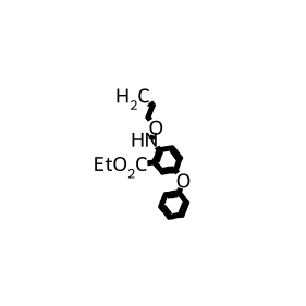 C=CCONc1ccc(Oc2ccccc2)cc1C(=O)OCC